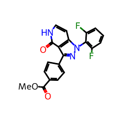 COC(=O)c1ccc(-c2nn(-c3c(F)cccc3F)c3cc[nH]c(=O)c23)cc1